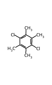 Cc1c(C)c(Cl)c(C)c(C)c1Cl